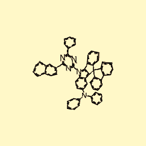 c1ccc(-c2nc(-c3ccc4ccccc4c3)nc(-n3c4c(c5cc(N(c6ccccc6)c6ccccc6)ccc53)C3(c5ccccc5-c5ccccc53)c3ccccc3-4)n2)cc1